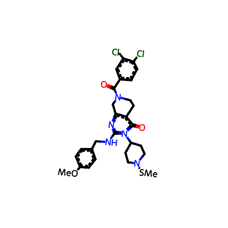 COc1ccc(CNc2nc3c(c(=O)n2C2CCN(SC)CC2)CCN(C(=O)c2ccc(Cl)c(Cl)c2)C3)cc1